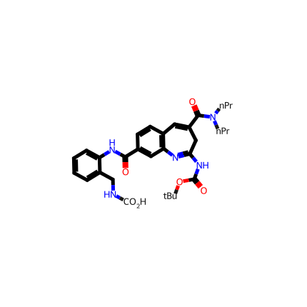 CCCN(CCC)C(=O)C1=Cc2ccc(C(=O)Nc3ccccc3CNC(=O)O)cc2N=C(NC(=O)OC(C)(C)C)C1